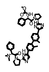 COC(=O)N[C@@H](C(=O)N1CCC[C@H]1c1ncc(-c2ccc(-c3ccc(-c4cnc([C@@H]5CCCN5C(=O)[C@@H](c5ccccc5)N(C)C)[nH]4)cc3C)c(C)c2)[nH]1)c1ccccc1